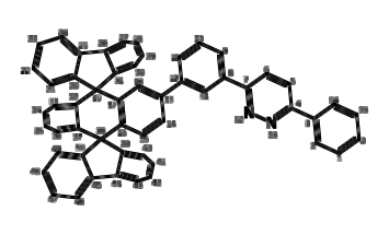 c1ccc(-c2ccc(-c3cccc(-c4ccc5c(c4)C4(c6ccccc6-c6ccccc64)c4ccccc4C54c5ccccc5-c5ccccc54)c3)nn2)cc1